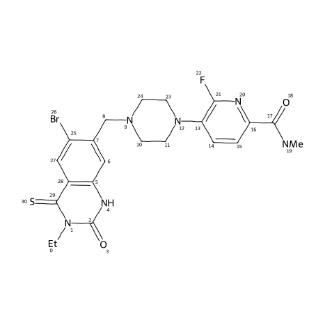 CCn1c(=O)[nH]c2cc(CN3CCN(c4ccc(C(=O)NC)nc4F)CC3)c(Br)cc2c1=S